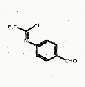 O=Cc1ccc(/N=C(\Cl)C(F)(F)F)cc1